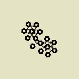 Cc1c2c3c4c5c1N(c1ccccc1)c1cc6c(cc1B5c1ccccc1N4c1ccccc1B3c1ccccc1N2c1ccccc1)c1cc2c(cc1n6-c1ccccc1)N(c1ccccc1)c1c(C)c3c4c5c1B2c1ccccc1N5c1ccccc1B4c1ccccc1N3c1ccccc1